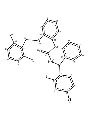 Cc1cc(Cl)ccc1C(NC(=O)Cc1ccccc1OCc1c(C)ccnc1C)c1ccccc1